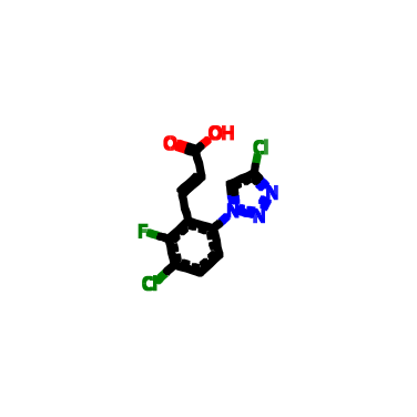 O=C(O)/C=C/c1c(-n2cc(Cl)nn2)ccc(Cl)c1F